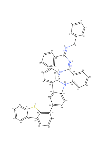 C=N/C(=N\C(=N/Cc1ccccc1)c1ccccc1)c1ccccc1-n1c2ccccc2c2cc(-c3cccc4c3sc3ccccc34)ccc21